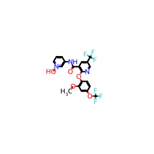 COc1cc(OC(F)(F)F)ccc1Oc1ncc(C(F)(F)F)cc1C(=O)Nc1ccc[n+](O)c1